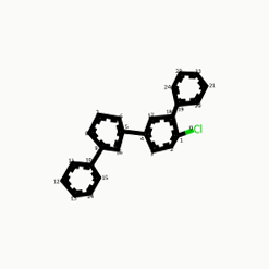 Clc1ccc(-c2cccc(-c3ccccc3)c2)cc1-c1ccccc1